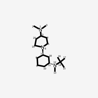 CN(C)C1CCN([C@@H]2CCC[C@@H](N(C)C(C)(C)C)C2)CC1